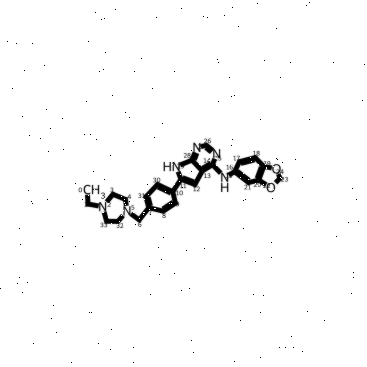 CCN1CCN(Cc2ccc(-c3cc4c(Nc5ccc6c(c5)OCO6)ncnc4[nH]3)cc2)CC1